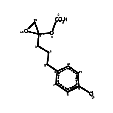 O=C(O)OC1(CCCc2ccc(Cl)cc2)CO1